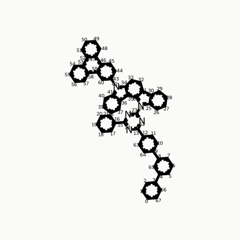 c1ccc(-c2cccc(-c3ccc(-c4nc(-c5ccccc5)nc(-n5c6ccccc6c6ccc7c(c8ccccc8n7-c7ccc8c9ccccc9c9ccccc9c8c7)c65)n4)cc3)c2)cc1